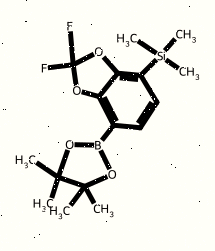 CC1(C)OB(c2ccc([Si](C)(C)C)c3c2OC(F)(F)O3)OC1(C)C